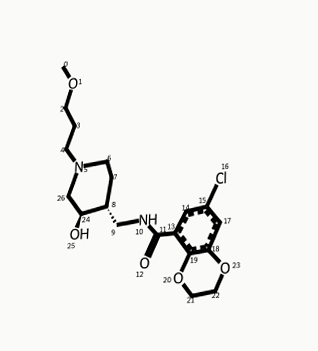 COCCCN1CC[C@H](CNC(=O)c2cc(Cl)cc3c2OCCO3)[C@@H](O)C1